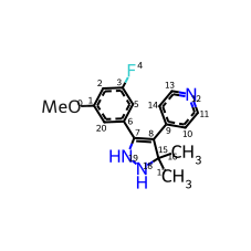 COc1cc(F)cc(C2=C(c3ccncc3)C(C)(C)NN2)c1